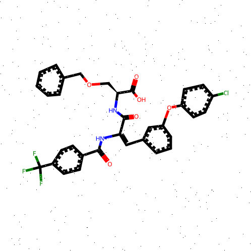 O=C(N[C@@H](COCc1ccccc1)C(=O)O)/C(=C\c1cccc(Oc2ccc(Cl)cc2)c1)NC(=O)c1ccc(C(F)(F)F)cc1